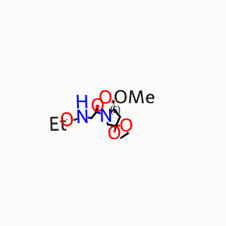 CCOCNCC(=O)N1CC2(C[C@H]1C(=O)OC)OCCO2